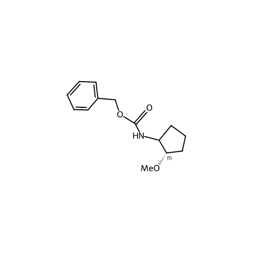 CO[C@H]1CCCC1NC(=O)OCc1ccccc1